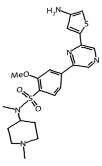 COc1cc(-c2cncc(-c3cc(N)cs3)n2)ccc1S(=O)(=O)N(C)C1CCN(C)CC1